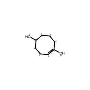 O/C1=C/CCC(O)CCC1